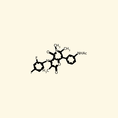 CC(=O)Nc1cccc(-c2c(C)n(C)c(=O)c3c(Nc4ccc(I)cc4F)c(C)c(=O)oc23)c1